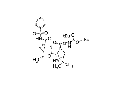 C=CC1C[C@]1(NC(=O)[C@@H]1[C@@H]2C(CN1C(=O)[C@@H](NC(=O)OC(C)(C)C)C(C)(C)C)C2(C)C)C(=O)NS(=O)(=O)c1ccccc1